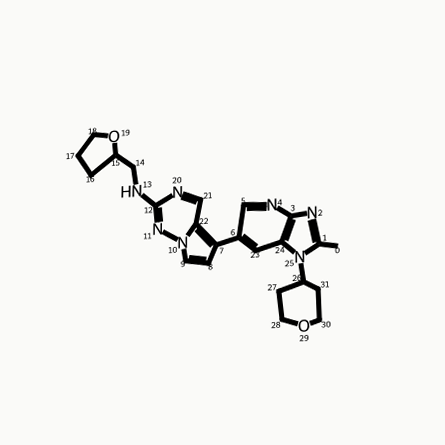 Cc1nc2ncc(-c3ccn4nc(NCC5CCCO5)ncc34)cc2n1C1CCOCC1